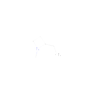 CN1CCC1CC#N